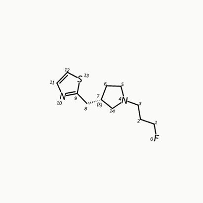 FCCCN1CC[C@@H](Cc2nccs2)C1